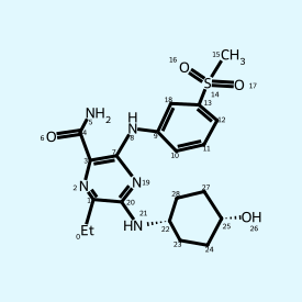 CCc1nc(C(N)=O)c(Nc2cccc(S(C)(=O)=O)c2)nc1N[C@H]1CC[C@@H](O)CC1